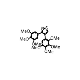 COc1cc(-c2nscc2-c2cc(OC)c(OC)c(OC)c2OC)cc(OC)c1OC